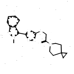 C[C@@H](Nc1nnc(-c2c3ccccc3nn2C)o1)C(=O)N1CCC2(CC1)CC2